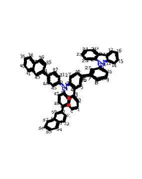 c1ccc(-c2cc(-c3cccc(-n4c5ccccc5c5ccccc54)c3)ccc2N(c2ccc(-c3ccc4ccccc4c3)cc2)c2ccc(-c3ccc4ccccc4c3)cc2)cc1